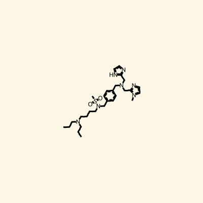 CCCN(CCC)CCCCN(Cc1ccc(CN(Cc2ncc[nH]2)Cc2nccn2C)cc1)S(C)(=O)=O